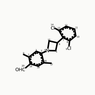 Cc1cc(N2CC(c3c(Cl)cccc3Cl)C2)c(C)cc1C=O